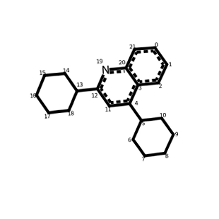 c1ccc2c(C3CCCCC3)cc(C3CCCCC3)nc2c1